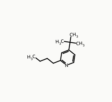 CCCCc1cc(C(C)(C)C)ccn1